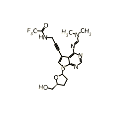 CN(C)/C=N/c1ncnc2c1c(C#CCNC(=O)C(F)(F)F)cn2[C@H]1CC[C@@H](CO)O1